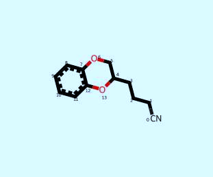 N#CCCCC1COc2ccccc2O1